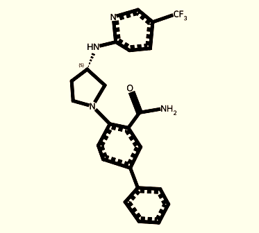 NC(=O)c1cc(-c2ccccc2)ccc1N1CC[C@H](Nc2ccc(C(F)(F)F)cn2)C1